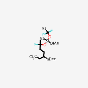 CCCCCCCCCCC(CCC(C)(F)O[Si](CC)(OC)OC(F)(F)CC)CC(Cl)(Cl)Cl